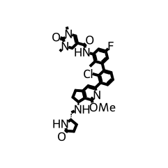 COc1nc(-c2cccc(-c3cc(F)cc(NC(=O)C4=CN(C)C(=O)N(C)C4)c3C)c2Cl)cc2c1[C@@H](NC[C@@H]1CCC(=O)N1)CC2